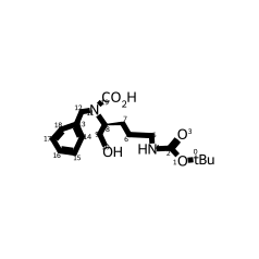 CC(C)(C)OC(=O)NCCC[C@@H](CO)N(Cc1ccccc1)C(=O)O